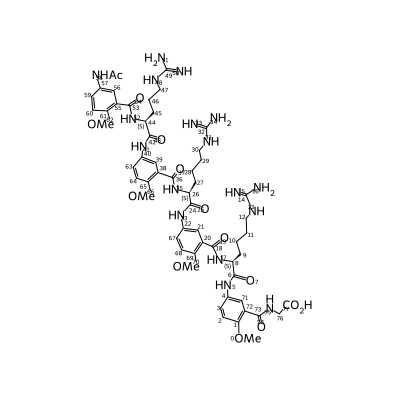 COc1ccc(NC(=O)[C@H](CCCCNC(=N)N)NC(=O)c2cc(NC(=O)[C@H](CCCCNC(=N)N)NC(=O)c3cc(NC(=O)[C@H](CCCNC(=N)N)NC(=O)c4cc(NC(C)=O)ccc4OC)ccc3OC)ccc2OC)cc1C(=O)NCC(=O)O